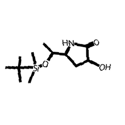 CC(O[Si](C)(C)C(C)(C)C)C1CC(O)C(=O)N1